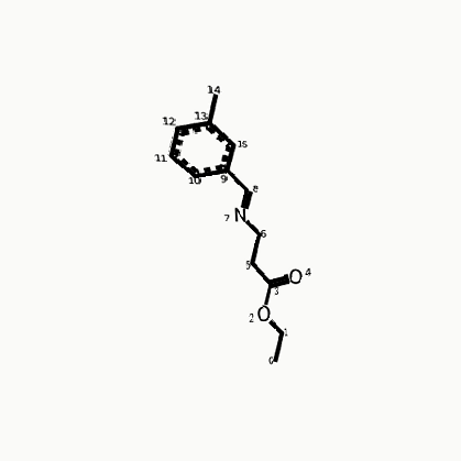 CCOC(=O)CCN=Cc1cccc(C)c1